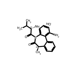 CC(C)[C@H](N)C(=O)N1C(=O)[C@H](C)c2ccccc2-c2c(N)cccc21.Cl